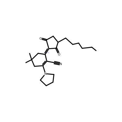 CCCCCCC1CC(=O)/C(=C2\CC(C)(C)CC(N3CCCC3)=C2C#N)C1=O